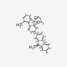 Cc1cccc2c1-c1ccc(-c3ccc4c5ccccc5n(C)c4c3)cc1C2(C)C